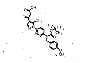 COc1ccc(CN(C(=O)OC(C)(C)C)c2ccc(-n3ncc(C(=O)CC(=O)O)c3C)nn2)cc1